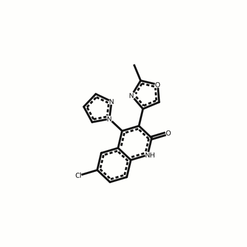 Cc1nc(-c2c(-n3cccn3)c3cc(Cl)ccc3[nH]c2=O)co1